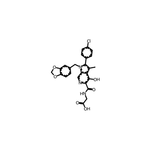 Cc1c(-c2ccc(Cl)cc2)n(Cc2ccc3c(c2)OCO3)c2cnc(C(=O)NCC(=O)O)c(O)c12